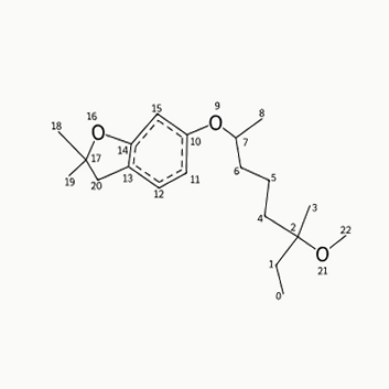 CCC(C)(CCCC(C)Oc1ccc2c(c1)OC(C)(C)C2)OC